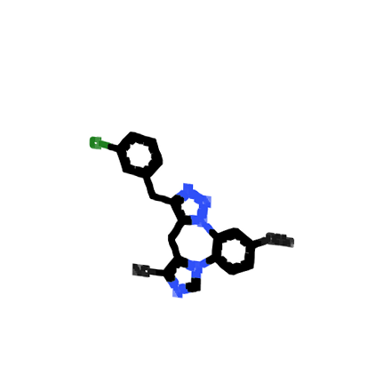 COc1ccc2c(c1)-n1nnc(Cc3cccc(Cl)c3)c1Cc1c(C#N)ncn1-2